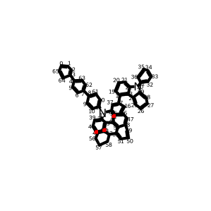 c1ccc(-c2ccc(-c3ccc(N(c4cccc(-c5cccc6c5c5ccccc5n6-c5ccccc5)c4)c4ccccc4-c4cccc5cccc(C6CCCCC6)c45)cc3)cc2)cc1